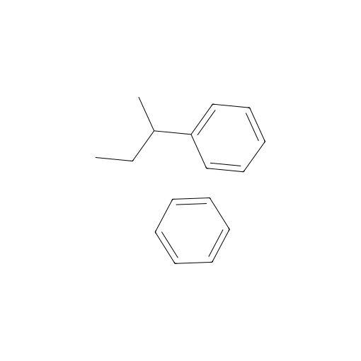 CCC(C)c1ccccc1.c1ccccc1